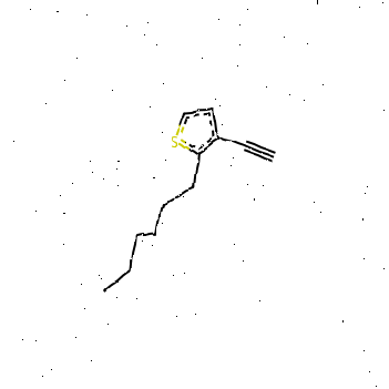 C#Cc1ccsc1CCCCCC